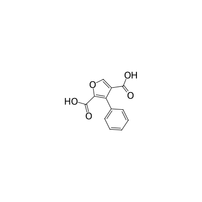 O=C(O)c1coc(C(=O)O)c1-c1ccccc1